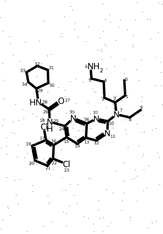 CCC(CCCN)N(CC)c1ncc2cc(-c3c(Cl)cccc3Cl)c(NC(=O)NC3CCCCC3)nc2n1